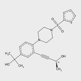 C[C@H](O)C#Cc1cc(C(C)(C)O)ccc1N1CCN(S(=O)(=O)c2cccs2)CC1